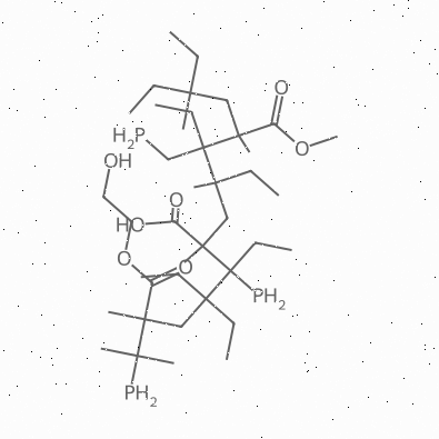 CCC(C)(CC)CC(C)(C(=O)OC)C(CC)(CP)C(C)(CC)CC(C)(C(=O)O)C(P)(CC)C(CC)(CC)CC(C)(C(=O)OCCO)C(C)(C)P